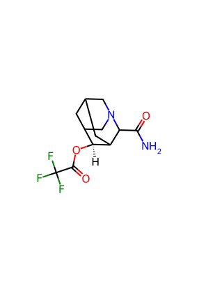 NC(=O)C1C2CC3CC(CN1C3)[C@@H]2OC(=O)C(F)(F)F